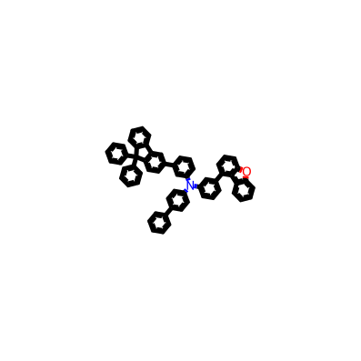 c1ccc(-c2ccc(N(c3cccc(-c4ccc5c(c4)-c4ccccc4C5(c4ccccc4)c4ccccc4)c3)c3cccc(-c4cccc5oc6ccccc6c45)c3)cc2)cc1